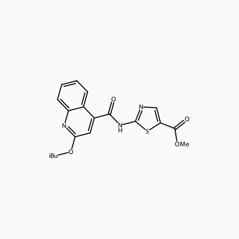 CCC(C)Oc1cc(C(=O)Nc2ncc(C(=O)OC)s2)c2ccccc2n1